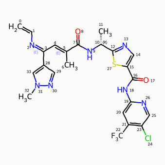 C=C/N=C(\C=C(/C)C(=O)N[C@H](C)c1ncc(C(=O)Nc2cc(C(F)(F)F)c(Cl)cn2)s1)c1cnn(C)c1